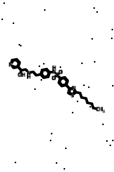 CCCCCCCc1nc(-c2ccc(S(=O)(=O)Nc3ccc(CCNCC(O)c4cccnc4)cc3)cc2)cs1